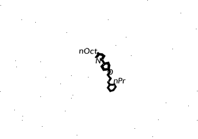 CCCCCCCCc1ccc(-c2ccc(OCCCC3CCCCC3CCC)cc2)nc1